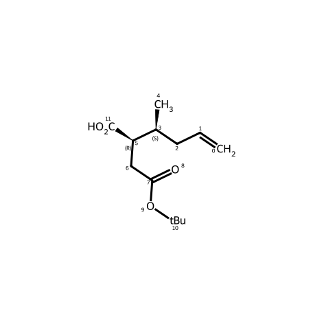 C=CC[C@H](C)[C@@H](CC(=O)OC(C)(C)C)C(=O)O